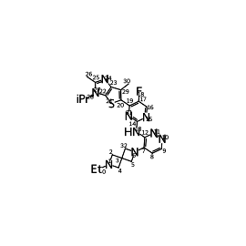 CCN1CC2(C1)CN(c1ccnnc1Nc1ncc(F)c(-c3sc4c(nc(C)n4C(C)C)c3C)n1)C2